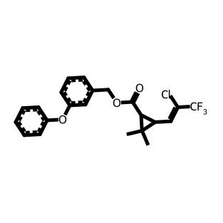 CC1(C)C(C=C(Cl)C(F)(F)F)C1C(=O)OCc1cccc(Oc2ccccc2)c1